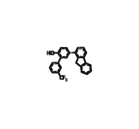 Oc1ccc(-c2cccc3c2Cc2ccccc2-3)cc1-c1cccc(C(F)(F)F)c1